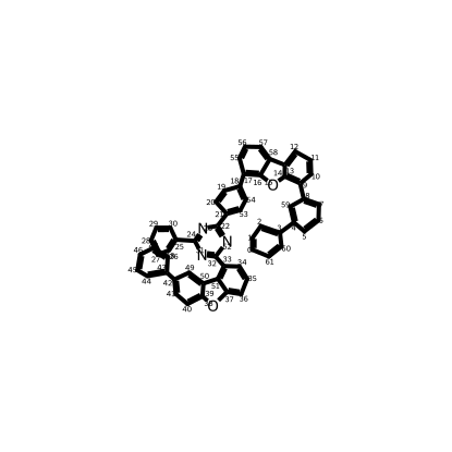 c1ccc(-c2cccc(-c3cccc4c3oc3c(-c5ccc(-c6nc(-c7ccccc7)nc(-c7cccc8oc9ccc(-c%10ccccc%10)cc9c78)n6)cc5)cccc34)c2)cc1